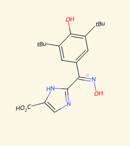 CC(C)(C)c1cc(/C(=N/O)c2ncc(C(=O)O)[nH]2)cc(C(C)(C)C)c1O